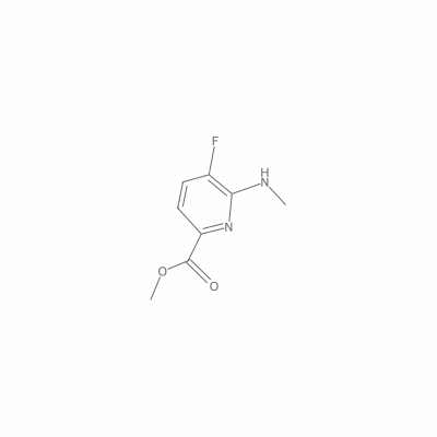 CNc1nc(C(=O)OC)ccc1F